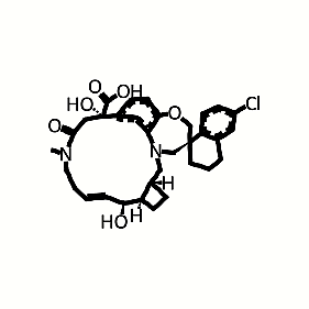 CN1CC/C=C/[C@H](O)[C@@H]2CC[C@H]2CN2C[C@@]3(CCCc4cc(Cl)ccc43)COc3ccc(cc32)[C@](O)(C(=O)O)CC1=O